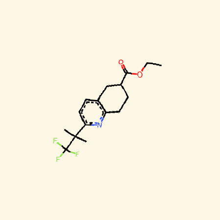 CCOC(=O)C1CCc2nc(C(C)(C)C(F)(F)F)ccc2C1